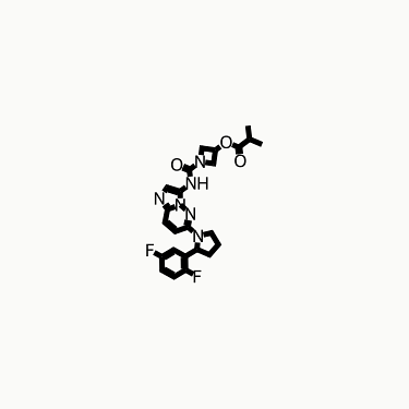 CC(C)C(=O)OC1CN(C(=O)Nc2cnc3ccc(N4CCCC4c4cc(F)ccc4F)nn23)C1